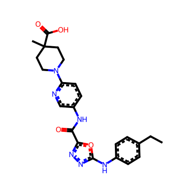 CCc1ccc(Nc2nnc(C(=O)Nc3ccc(N4CCC(C)(C(=O)O)CC4)nc3)o2)cc1